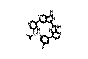 CC(C)Nc1cncc(-c2cc3c(-c4nc5c(-c6cc(O)cc(F)c6)ccnc5[nH]4)n[nH]c3cn2)c1